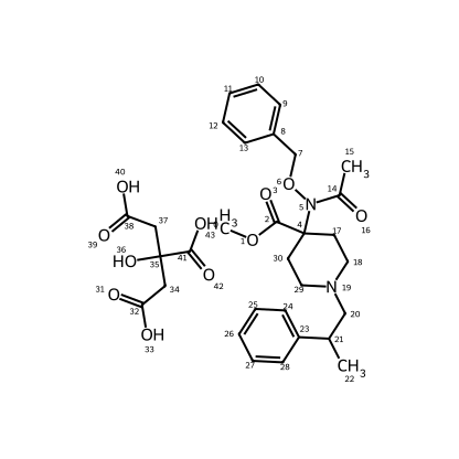 COC(=O)C1(N(OCc2ccccc2)C(C)=O)CCN(CC(C)c2ccccc2)CC1.O=C(O)CC(O)(CC(=O)O)C(=O)O